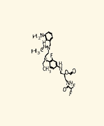 CCN(CCN(Cc1cccc(N)c1)NC)c1ccc(NC[C@H](CNC(=O)C(F)F)OC=O)cc1F